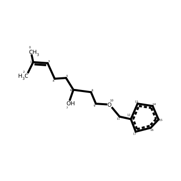 CC(C)=CCCC(O)CCOCc1ccccc1